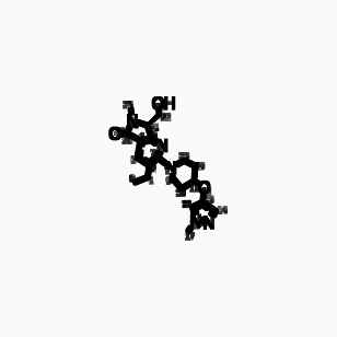 CCc1cc2c(nc1N1CCC(Oc3cnn(C)c3)CC1)[C@H](CO)N(C)C2=O